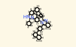 c1ccc(C2Nc3cccc4c3N2c2ccccc2C42c3ccccc3-c3ccc(-c4nc(-c5ccc(-c6cccc7ccccc67)cc5)c5ccccc5n4)cc32)cc1